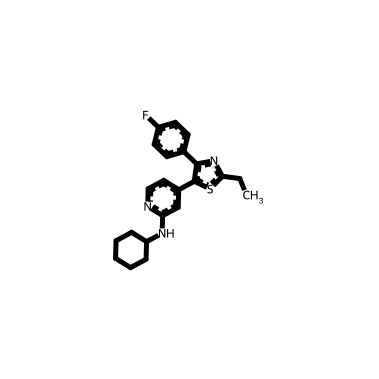 CCc1nc(-c2ccc(F)cc2)c(-c2ccnc(NC3CCCCC3)c2)s1